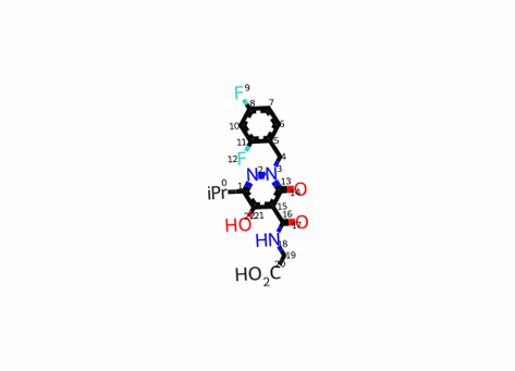 CC(C)c1nn(Cc2ccc(F)cc2F)c(=O)c(C(=O)NCC(=O)O)c1O